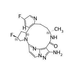 C[C@H]1CCc2ncc(F)cc2[C@@H]2C[C@H](F)CN2c2ccn3nc(N)c(c3n2)C(=O)N1